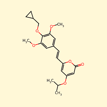 COc1cc(/C=C/c2cc(OC(C)C)cc(=O)o2)cc(OC)c1OCC1CC1